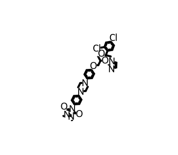 Cn1c(=O)n(-c2ccc(N3CCN(c4ccc(OCC5COC(Cn6ccnc6)(c6ccc(Cl)cc6Cl)O5)cc4)CC3)cc2)c(=O)n1C